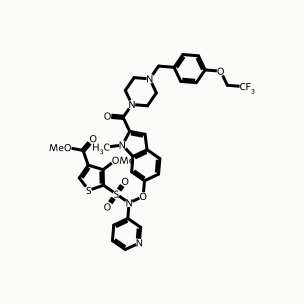 COC(=O)c1csc(S(=O)(=O)N(Oc2ccc3cc(C(=O)N4CCN(Cc5ccc(OCC(F)(F)F)cc5)CC4)n(C)c3c2)c2cccnc2)c1OC